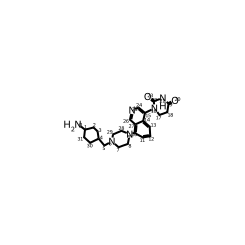 NC1CCC(CN2CCN(c3cccc4c(N5CCC(=O)NC5=O)cncc34)CC2)CC1